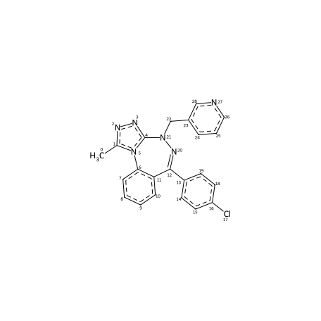 Cc1nnc2n1-c1ccccc1C(c1ccc(Cl)cc1)=NN2Cc1cccnc1